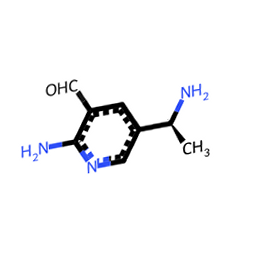 C[C@H](N)c1cnc(N)c(C=O)c1